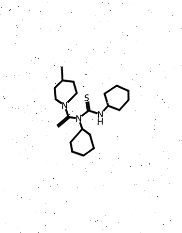 C=C(N1CCC(C)CC1)N(C(=S)NC1CCCCC1)C1CCCCC1